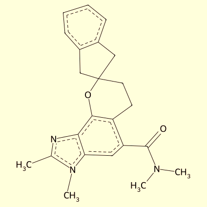 Cc1nc2c3c(c(C(=O)N(C)C)cc2n1C)CCC1(Cc2ccccc2C1)O3